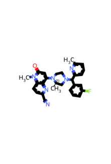 Cc1cccc(C(c2cccc(F)c2)N2CCN(c3cc(=O)n(C)c4ccc(C#N)nc34)[C@@H](C)C2)n1